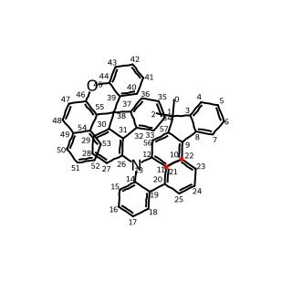 CC1(C)c2ccccc2-c2ccc(N(c3ccccc3-c3ccccc3)c3cccc4c3-c3ccccc3C43c4ccccc4Oc4ccc5ccccc5c43)cc21